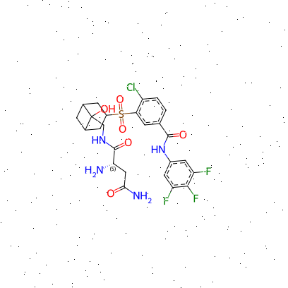 NC(=O)C[C@H](N)C(=O)NCC1(O)C2CC1CC(S(=O)(=O)c1cc(C(=O)Nc3cc(F)c(F)c(F)c3)ccc1Cl)C2